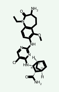 CCN1C(=O)C(N)CCc2c1ccc(Nc1ncc(Cl)c(N[C@H]3[C@@H](C(N)=O)[C@@H]4C=C[C@H]3C4)n1)c2OC